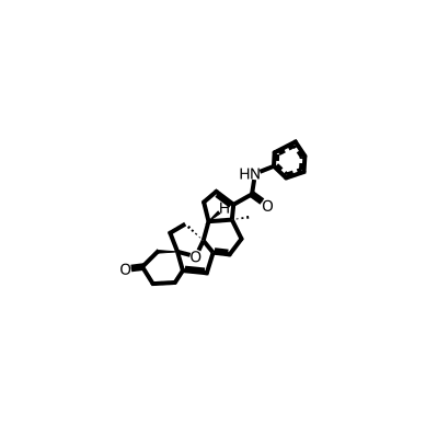 C[C@]12CC=C3C=C4CCC(=O)C[C@]45CC[C@]3(O5)[C@@H]1CC=C2C(=O)Nc1ccccc1